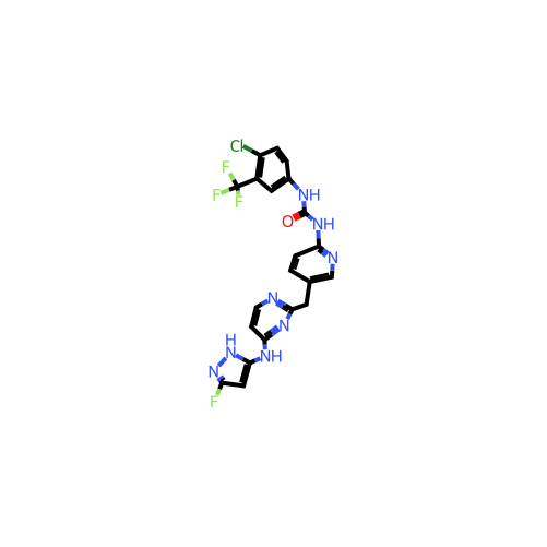 O=C(Nc1ccc(Cl)c(C(F)(F)F)c1)Nc1ccc(Cc2nccc(Nc3cc(F)n[nH]3)n2)cn1